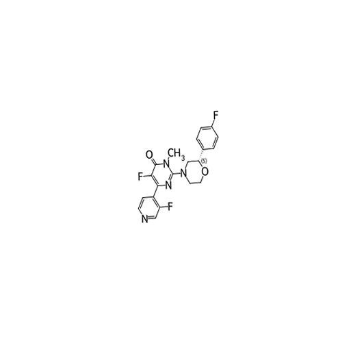 Cn1c(N2CCO[C@@H](c3ccc(F)cc3)C2)nc(-c2ccncc2F)c(F)c1=O